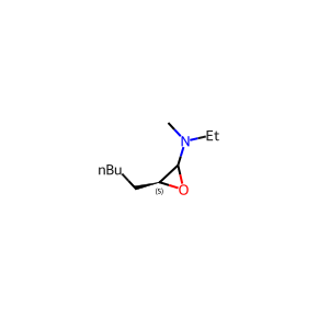 CCCCC[C@@H]1OC1N(C)CC